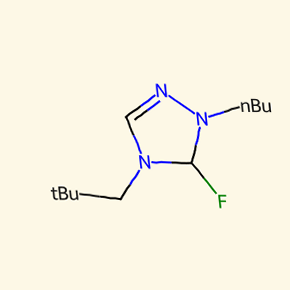 CCCCN1N=CN(CC(C)(C)C)C1F